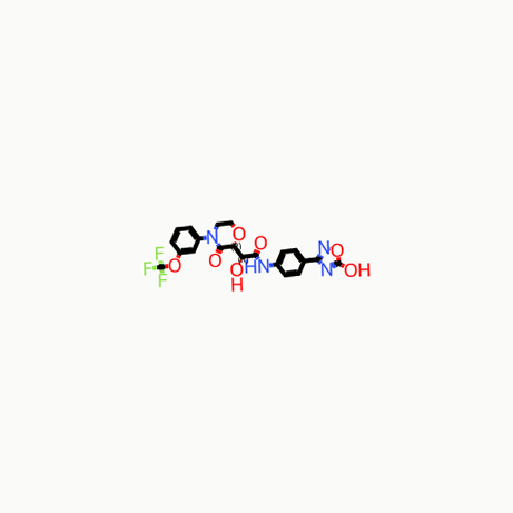 O=C(Nc1ccc(-c2noc(O)n2)cc1)[C@H](O)[C@H]1OCCN(c2cccc(OC(F)(F)F)c2)C1=O